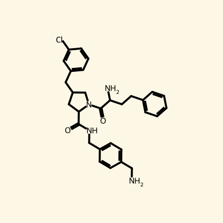 NCc1ccc(CNC(=O)C2CC(Cc3cccc(Cl)c3)CN2C(=O)C(N)CCc2ccccc2)cc1